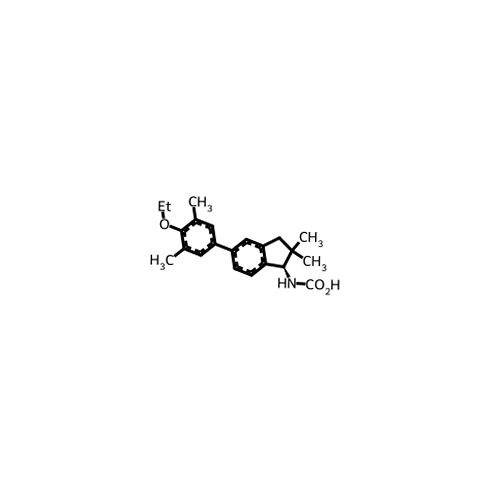 CCOc1c(C)cc(-c2ccc3c(c2)CC(C)(C)[C@H]3NC(=O)O)cc1C